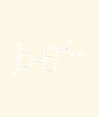 CC(C)(C)OC(=O)n1ccc2c(-c3cc(Cl)nc(Cl)c3)cccc21